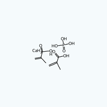 C=C(C)C(=O)O.C=C(C)C(=O)O.O=P(O)(O)O.[CaH2]